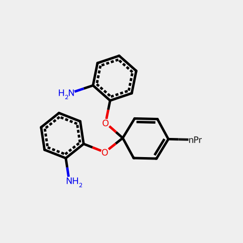 CCCC1=CCC(Oc2ccccc2N)(Oc2ccccc2N)C=C1